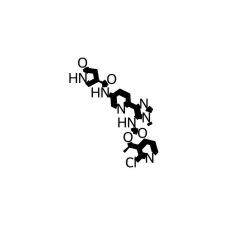 C[C@@H](OC(=O)Nc1c(-c2ccc(NC(=O)[C@H]3CNC(=O)C3)cn2)ncn1C)c1cccnc1Cl